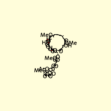 COC[C@H]1OC(=O)c2coc3c2[C@@]1(C)C1=C(C3=O)C2CC[C@H](OC(=O)CCC(=O)O[C@@H]3CC[C@@H](C[C@@H](C)[C@@H]4CC(=O)[C@H](C)/C=C(\C)[C@@H](O)[C@@H](OC)C(=O)[C@H](C)C[C@H](C)/C=C/C=C/C=C(\C)[C@@H](OC)C[C@@H]5CC[C@@H](C)[C@@](O)(O5)C(=O)C(=O)N5CCCC[C@H]5C(=O)O4)C[C@H]3OC)[C@@]2(C)C[C@H]1OC(C)=O